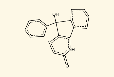 O=c1cnc2c([nH]1)-c1ccccc1C2(O)c1ccccc1